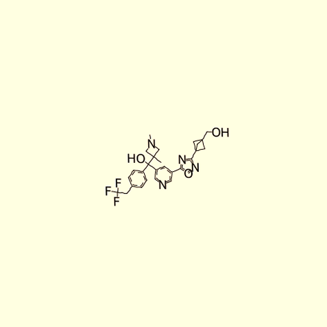 CN1CC(C)(C(O)(c2ccc(CC(F)(F)F)cc2)c2cncc(-c3nc(C45CC(CO)(C4)C5)no3)c2)C1